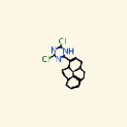 ClC1=NC(Cl)NC(C2=CCC3CCC4=C5C(CC=C4)CCC2C53)=N1